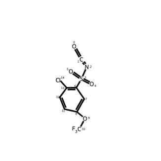 O=C=NS(=O)(=O)c1cc(OC(F)(F)F)ccc1Cl